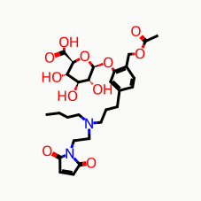 CCCCN(CCCc1ccc(COC(C)=O)c(O[C@@H]2O[C@H](C(=O)O)[C@@H](O)[C@H](O)[C@H]2O)c1)CCN1C(=O)C=CC1=O